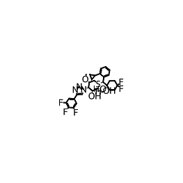 CO[C@H]1C[SH]([C@H](c2ccccc2C2CC2)C2(O)CCC(F)(F)CC2)[C@H](CO)[C@H](O)[C@@H]1n1cc(-c2cc(F)c(F)c(F)c2)nn1